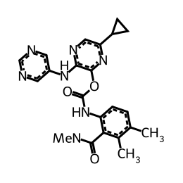 CNC(=O)c1c(NC(=O)Oc2nc(C3CC3)cnc2Nc2cncnc2)ccc(C)c1C